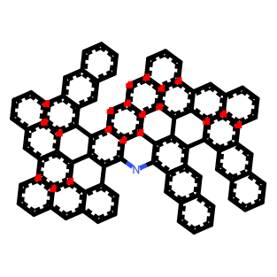 c1ccc2cc3c(-c4c(-c5cccc6cc7ccccc7cc56)c(-c5cccc6cc7ccccc7cc56)c5cc6ccccc6cc5c4[N]c4c(-c5cccc6cc7ccccc7cc56)c(-c5cccc6cc7ccccc7cc56)c(-c5cccc6cc7ccccc7cc56)c5cc6ccccc6cc45)cccc3cc2c1